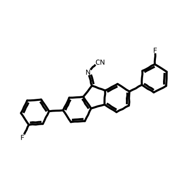 N#CN=C1c2cc(-c3cccc(F)c3)ccc2-c2ccc(-c3cccc(F)c3)cc21